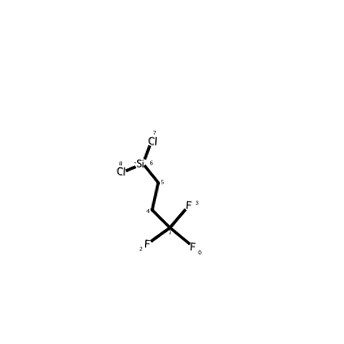 FC(F)(F)CC[Si](Cl)Cl